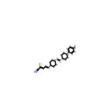 N#CC(F)=CC=C[C@H]1CC[C@H](C=C[C@H]2CC[C@H](c3ccc(F)cc3)CC2)CC1